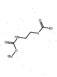 CCC(=O)SCCNC(=O)OC(C)(C)C